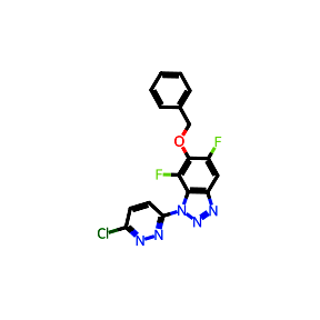 Fc1cc2nnn(-c3ccc(Cl)nn3)c2c(F)c1OCc1ccccc1